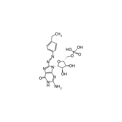 CCc1ccc(N=Nc2nc3c(=O)[nH]c(N)nc3n2[C@@H]2O[C@H](COP(=O)(O)O)[C@@H](O)[C@H]2O)cc1